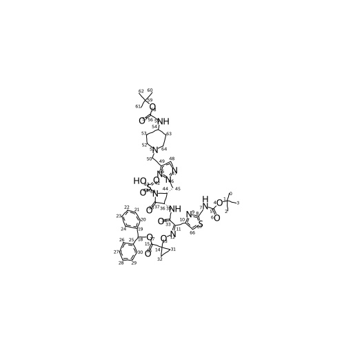 CC(C)(C)OC(=O)Nc1nc(/C(=N/OC2(C(=O)OC(c3ccccc3)c3ccccc3)CC2)C(=O)N[C@@H]2C(=O)N(S(=O)(=O)O)[C@@H]2Cn2ncc(CN3CCC(NC(=O)OC(C)(C)C)CC3)n2)cs1